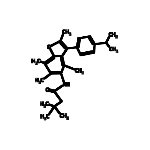 Cc1oc2c(C)c(C)c(NC(=O)CC(C)(C)C)c(C)c2c1-c1ccc(C(C)C)cc1